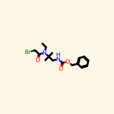 CCN(C(=O)CBr)C(C)(C)CNC(=O)OCc1ccccc1